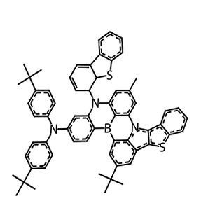 Cc1cc2c3c(c1)-n1c4c(cc(C(C)(C)C)cc4c4sc5ccccc5c41)B3c1ccc(N(c3ccc(C(C)(C)C)cc3)c3ccc(C(C)(C)C)cc3)cc1N2C1C=CC=C2c3ccccc3SC21